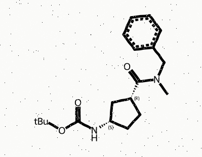 CN(Cc1ccccc1)C(=O)[C@@H]1CC[C@H](NC(=O)OC(C)(C)C)C1